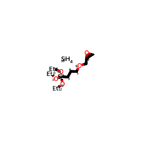 CCO[Si](CCCOCC1CO1)(OCC)OCC.[SiH4]